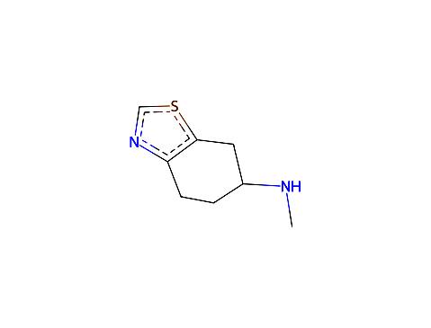 CNC1CCc2ncsc2C1